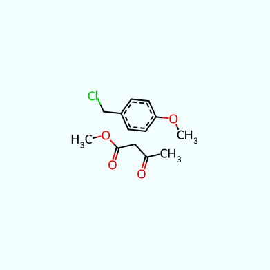 COC(=O)CC(C)=O.COc1ccc(CCl)cc1